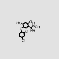 N=C(NO)c1cc(Oc2ccc(Cl)cc2Cl)c(O)cc1Cl